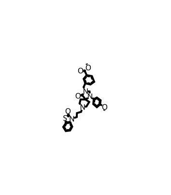 COC(=O)c1cccc(CN2CN(c3ccc(OC)cc3)C3(CCN(CCCn4c(=O)sc5ccccc54)CC3)C2=O)c1